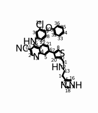 N#Cc1cnc2cc(-c3csc(CNCCc4c[nH]cn4)c3)ccc2c1Nc1ccc(Oc2ccccc2)c(Cl)c1